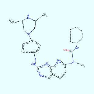 CC1CN(c2ccc(Nc3ncc4ccc(N(C)C(=O)NC5CCCCC5)nc4n3)cc2)CC(C)N1